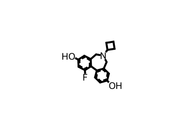 Oc1ccc2c(c1)CN(C1CCC1)Cc1cc(O)cc(F)c1-2